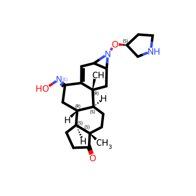 C[C@]12CC3C(C=C1/C(=N/O)C[C@@H]1[C@@H]2CC[C@]2(C)C(=O)CC[C@@H]12)N3O[C@H]1CCNC1